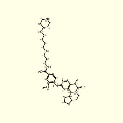 CC[C@@H]1C(=O)N(C)c2cnc(Nc3ccc(C(=O)NCCCOCCCCOC4CCNCC4)cc3OC)nc2N1C1CCCC1